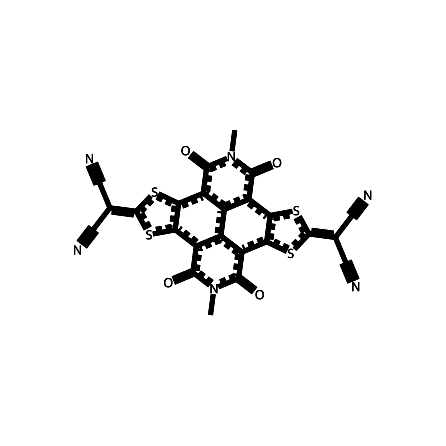 Cn1c(=O)c2c3sc(=C(C#N)C#N)sc3c3c(=O)n(C)c(=O)c4c5sc(=C(C#N)C#N)sc5c(c1=O)c2c34